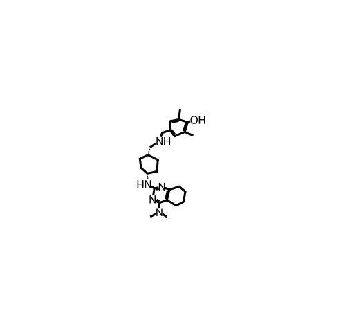 Cc1cc(CNC[C@H]2CC[C@@H](Nc3nc4c(c(N(C)C)n3)CCCC4)CC2)cc(C)c1O